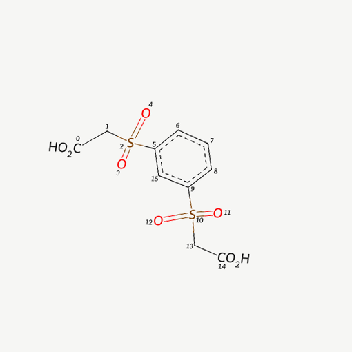 O=C(O)CS(=O)(=O)c1cccc(S(=O)(=O)CC(=O)O)c1